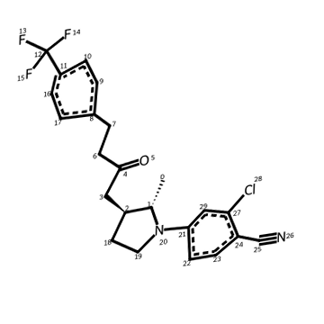 C[C@H]1[C@H](CC(=O)CCc2ccc(C(F)(F)F)cc2)CCN1c1ccc(C#N)c(Cl)c1